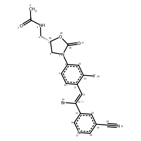 CC(=O)NC[C@H]1CN(c2ccc(/C=C(\Br)c3cncc(C#N)c3)c(F)c2)C(=O)O1